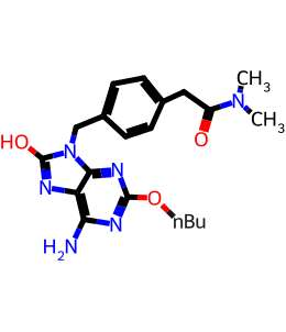 CCCCOc1nc(N)c2nc(O)n(Cc3ccc(CC(=O)N(C)C)cc3)c2n1